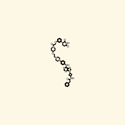 O=C1CC[C@@H](c2cccc(OCC(=O)N3CCC(OCCN4CCN(c5ccc(Nc6ncnc7c6ncn7C6CC(NC(=O)Cc7ccccc7)C6)cc5)CC4)CC3)c2)C(=O)N1